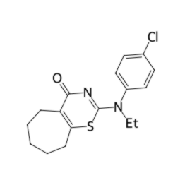 CCN(c1ccc(Cl)cc1)c1nc(=O)c2c(s1)CCCCC2